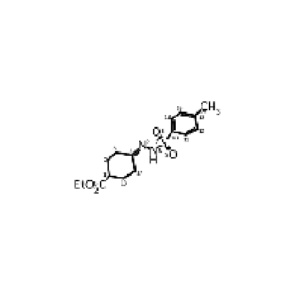 CCOC(=O)C1CCC(=NNS(=O)(=O)c2ccc(C)cc2)CC1